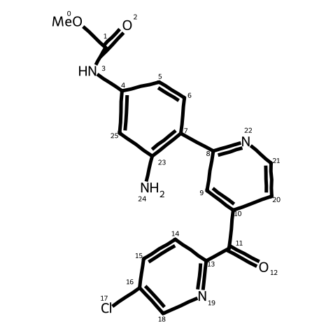 COC(=O)Nc1ccc(-c2cc(C(=O)c3ccc(Cl)cn3)ccn2)c(N)c1